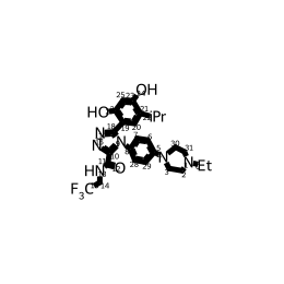 CCN1CCN(c2ccc(-n3c(C(=O)NCC(F)(F)F)nnc3-c3cc(C(C)C)c(O)cc3O)cc2)CC1